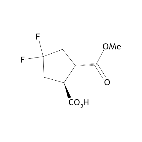 COC(=O)[C@H]1CC(F)(F)C[C@@H]1C(=O)O